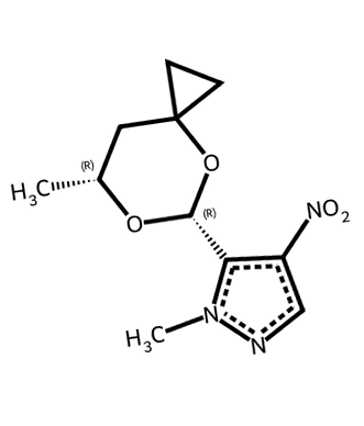 C[C@@H]1CC2(CC2)O[C@H](c2c([N+](=O)[O-])cnn2C)O1